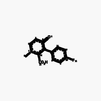 Cn1ccc(=O)c(-c2ccc(F)cc2)c1C(=O)O